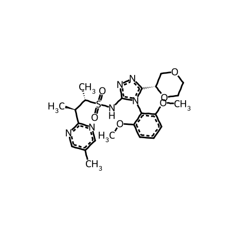 COc1cccc(OC)c1-n1c(NS(=O)(=O)[C@@H](C)[C@H](C)c2ncc(C)cn2)nnc1[C@@H]1COCCO1